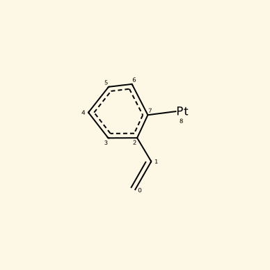 C=Cc1cccc[c]1[Pt]